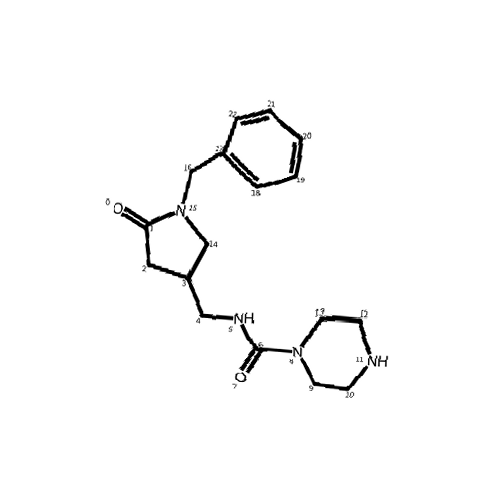 O=C1CC(CNC(=O)N2CCNCC2)CN1Cc1ccccc1